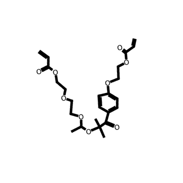 C=CC(=O)OCCOCCOC(C)OC(C)(C)C(=O)c1ccc(OCCOC(=O)C=C)cc1